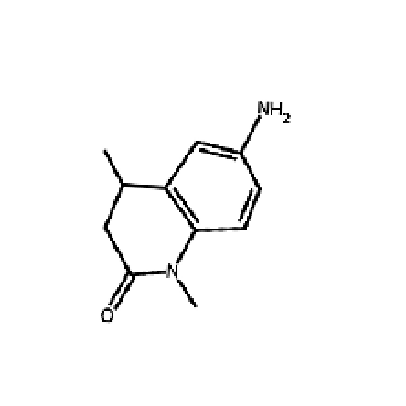 CC1CC(=O)N(C)c2ccc(N)cc21